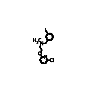 CN(CCOc1cccc(Cl)n1)Cc1cccc(I)c1